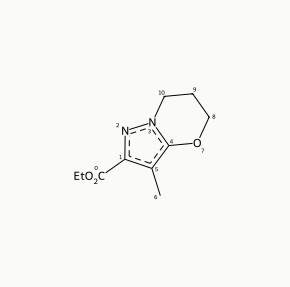 CCOC(=O)c1nn2c(c1C)OCCC2